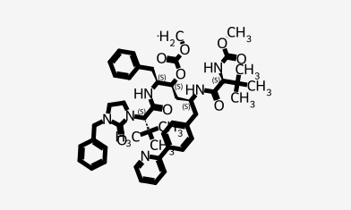 [CH2]OC(=O)O[C@@H](C[C@H](Cc1ccc(-c2ccccn2)cc1)NC(=O)[C@@H](NC(=O)OC)C(C)(C)C)[C@H](Cc1ccccc1)NC(=O)[C@@H](N1CCN(Cc2ccccc2)C1=O)C(C)(C)C